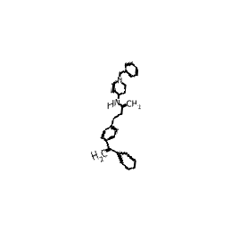 C=C(CCc1ccc(C(=C)C2=CCCC=C2)cc1)NC1CCN(Cc2ccccc2)CC1